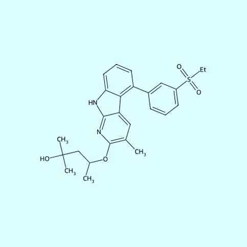 CCS(=O)(=O)c1cccc(-c2cccc3[nH]c4nc(OC(C)CC(C)(C)O)c(C)cc4c23)c1